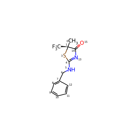 C[C@@]1(C(F)(F)F)SC(NCc2ccccc2)=NC1=O